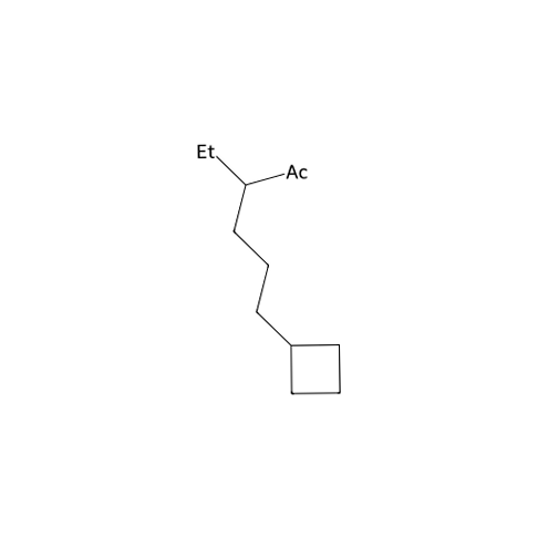 CCC(CCCC1CCC1)C(C)=O